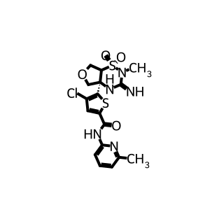 Cc1cccc(NC(=O)c2cc(Cl)c([C@]34COCC3S(=O)(=O)N(C)C(=N)N4)s2)n1